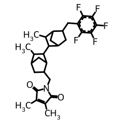 CC1=C(C)C(=O)N(CC2CC3CC2C(C2C4CC(Cc5c(F)c(F)c(F)c(F)c5F)C(C4)C2C)C3C)C1=O